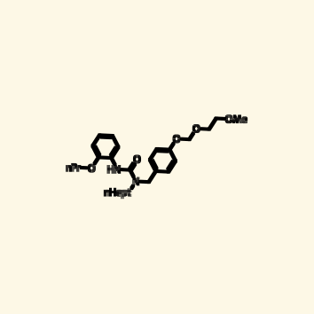 CCCCCCCN(Cc1ccc(OCOCCOC)cc1)C(=O)Nc1ccccc1OCCC